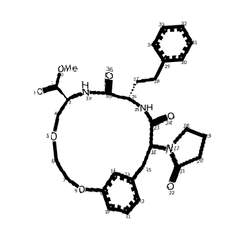 COC(=O)[C@@H]1COCCOc2cccc(c2)CC(N2CCCC2=O)C(=O)N[C@@H](CCc2ccccc2)C(=O)N1